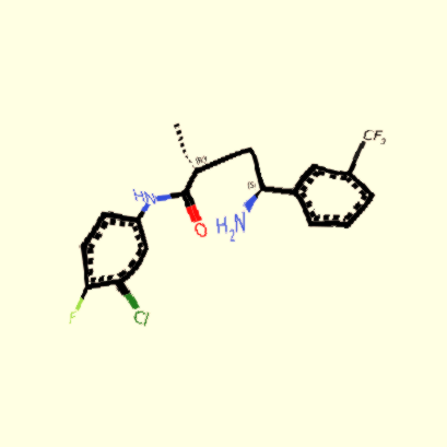 C[C@H](C[C@H](N)c1cccc(C(F)(F)F)c1)C(=O)Nc1ccc(F)c(Cl)c1